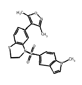 Cc1noc(C)c1-c1ccc2c(c1)N(S(=O)(=O)c1ccc3c(ccn3C)c1)CCS2